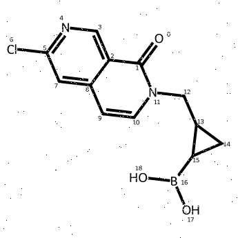 O=c1c2cnc(Cl)cc2ccn1CC1CC1B(O)O